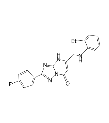 CCc1ccccc1NCc1cc(=O)n2nc(-c3ccc(F)cc3)nc2[nH]1